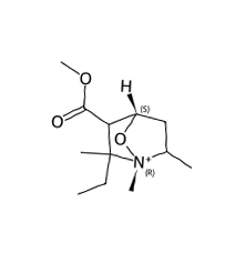 CCC1(C)C(C(=O)OC)[C@@H]2CC(C)[N@@+]1(C)O2